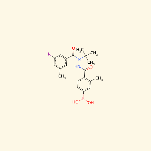 Cc1cc(I)cc(C(=O)N(NC(=O)c2ccc(B(O)O)cc2C)C(C)(C)C)c1